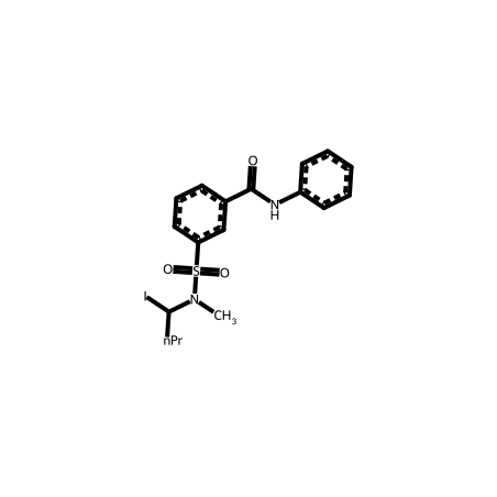 CCCC(I)N(C)S(=O)(=O)c1cccc(C(=O)Nc2ccccc2)c1